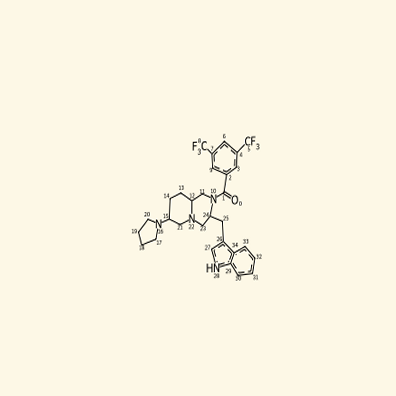 O=C(c1cc(C(F)(F)F)cc(C(F)(F)F)c1)N1CC2CCC(N3CCCC3)CN2CC1Cc1c[nH]c2ccccc12